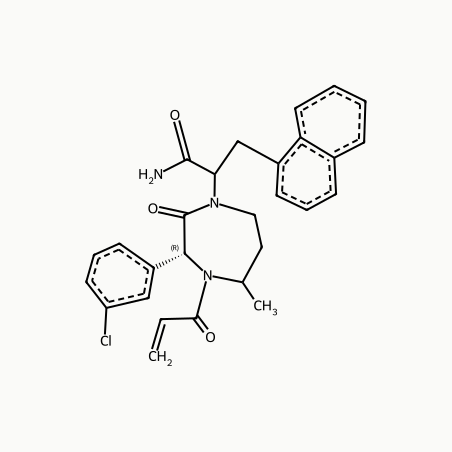 C=CC(=O)N1C(C)CCN(C(Cc2cccc3ccccc23)C(N)=O)C(=O)[C@H]1c1cccc(Cl)c1